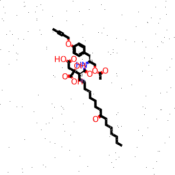 CC#CCOc1ccc(C[C@@H](COC(C)=O)NC(=O)[C@@H](/C=C/CCCCCCC(=O)CCCCCCC)[C@@](O)(CC(=O)O)C(=O)O)cc1